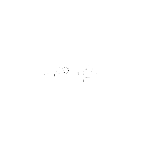 C=C[C@]1(C)C[C@@H](OC(=O)COc2ccc3c(c2)B(O)N(C(=O)OC)N=C3)[C@@]2(C)C[C@](C[C@H](F)C(C)=O)(CC[C@H]2C)[C@@H](C)[C@@H]1O